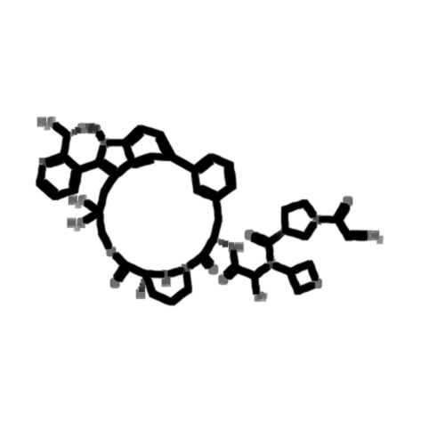 C=CC(=O)N1CC[C@H](C(=O)N(C2COC2)C(C(=O)N[C@H]2Cc3cccc(c3)-c3ccc4c(c3)c(c(-c3cccnc3[C@H](C)OC)n4CC)CC(C)(C)COC(=O)[C@@H]3CCCN(N3)C2=O)C(C)C)C1